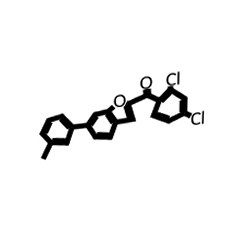 Cc1cccc(-c2ccc3cc(C(=O)c4ccc(Cl)cc4Cl)oc3c2)c1